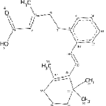 CC(=CC(=O)O)CCc1ccccc1C=CC1=C(C)CCCC1(C)C